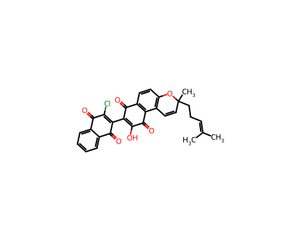 CC(C)=CCCC1(C)C=Cc2c(ccc3c2C(=O)C(O)=C(C2=C(Cl)C(=O)c4ccccc4C2=O)C3=O)O1